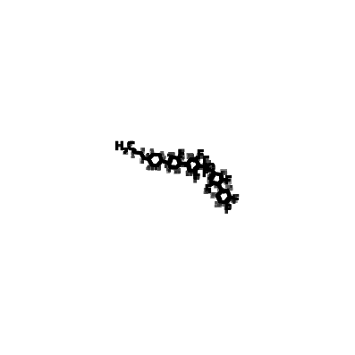 C=CCCC1CCC(c2ccc(-c3cc(F)c(C(F)(F)Oc4cc(F)c(-c5ccc(F)c(F)c5)c(F)c4)c(F)c3)c(F)c2)CC1